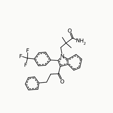 CC(C)(Cn1c(-c2ccc(C(F)(F)F)cc2)c(C(=O)CCc2ccccc2)c2ccccc21)C(N)=O